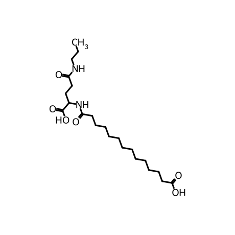 CCCNC(=O)CCC(NC(=O)CCCCCCCCCCCCC(=O)O)C(=O)O